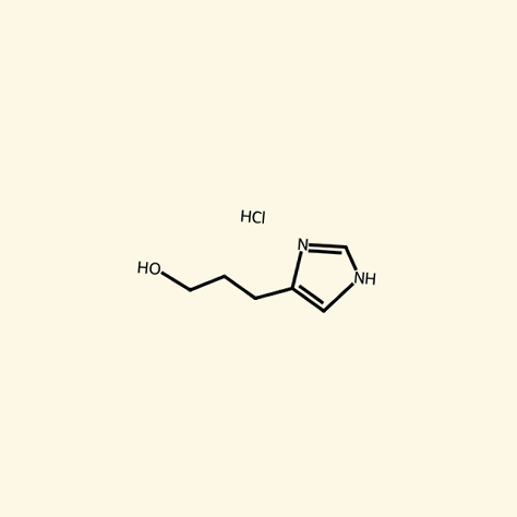 Cl.OCCCc1c[nH]cn1